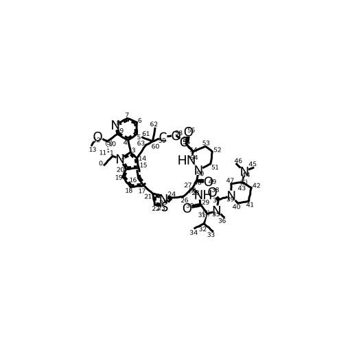 CCn1c(-c2cccnc2[C@H](C)OC)c2c3cc(ccc31)-c1csc(n1)C[C@H](NC(=O)[C@H](C(C)C)N(C)C(=O)N1CCC[C@H](N(C)C)C1)C(=O)N1CCCC(C=O)(COCC(C)(C)C2)N1